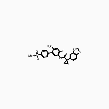 CNS(=O)(=O)c1ccc(-c2cc(NC(=O)C3(c4ccc5c(c4)OCO5)CC3)c(F)cc2C)cc1